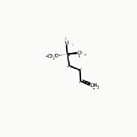 C=CCC[C@](C)(N)C(=O)O